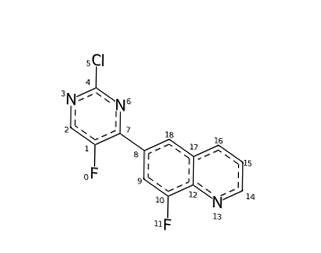 Fc1cnc(Cl)nc1-c1cc(F)c2ncccc2c1